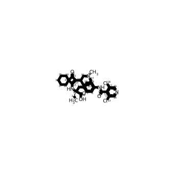 CC[C@@](Cc1ccc(NC(=O)c2c(Cl)cncc2Cl)cc1)(NC1=C(C2CCCN(C)C2)C(=O)C12CCCCC2)C(=O)O